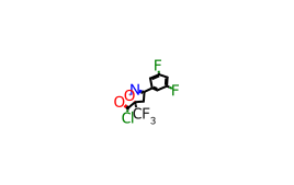 O=C(Cl)C1(C(F)(F)F)CC(c2cc(F)cc(F)c2)=NO1